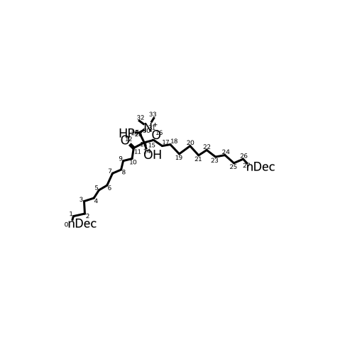 CCCCCCCCCCCCCCCCCCCCC(=O)C(O)(C(=O)CCCCCCCCCCCCCCCCCCCC)C([PH-])[N+](C)(C)C